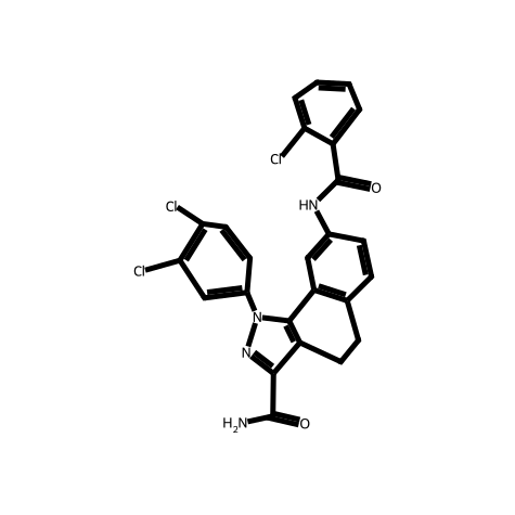 NC(=O)c1nn(-c2ccc(Cl)c(Cl)c2)c2c1CCc1ccc(NC(=O)c3ccccc3Cl)cc1-2